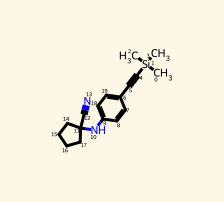 C[Si](C)(C)C#Cc1ccc(NC2(C#N)CCCC2)cc1